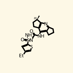 CCc1csc([S@@](N)(=O)=NC(=O)Nc2c3c(nc4c2CC[C@H]4C)CCC3)c1